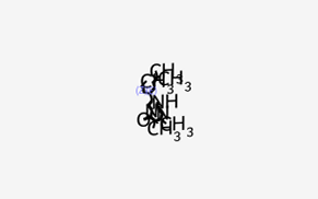 C/C=C\C(=C/C=C(C)C)c1cn2c(=O)c(C)c(C)nc2[nH]1